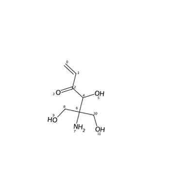 C=CC(=O)C(O)C(N)(CO)CO